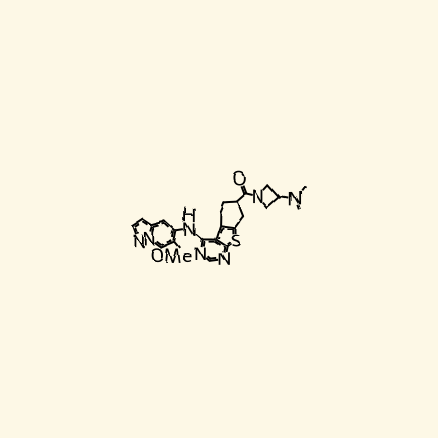 COc1cn2nccc2cc1Nc1ncnc2sc3c(c12)CCC(C(=O)N1CC(N(C)C)C1)C3